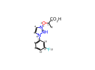 CC(ON1C=CN(c2cccc(F)c2)N1)C(=O)O